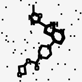 Cc1nnc(-c2cc3c(N4CCN(C(=O)OC5COC5)CC4)ccnc3[nH]2)o1